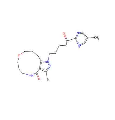 CCc1nn(CCCCC(=O)c2ncc(C)cn2)c2c1C(=O)NCCCOCCC2